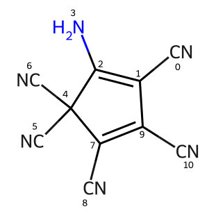 N#CC1=C(N)C(C#N)(C#N)C(C#N)=C1C#N